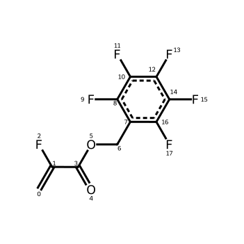 C=C(F)C(=O)OCc1c(F)c(F)c(F)c(F)c1F